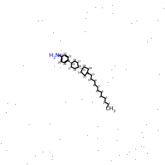 CCCCCCCCCCCCC1CCC([C@H]2CC[C@H](c3ccc(N)cc3)CC2)CC1